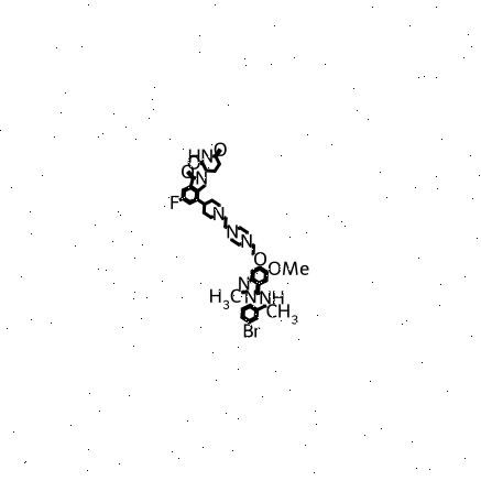 COc1cc2c(N[C@H](C)c3cccc(Br)c3)nc(C)nc2cc1OCCN1CCN(CCN2CCC(c3cc(F)cc4c3CN(C3CCC(=O)NC3=O)C4=O)CC2)CC1